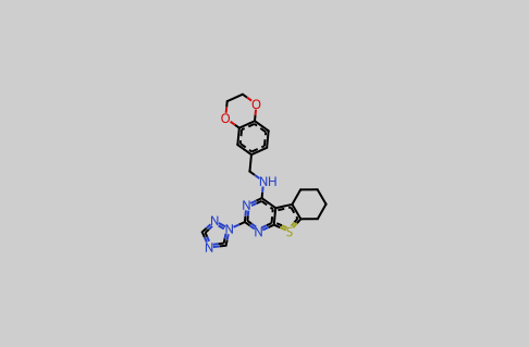 c1ncn(-c2nc(NCc3ccc4c(c3)OCCO4)c3c4c(sc3n2)CCCC4)n1